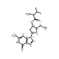 CC(C)C(N)C(=O)O[C@@H]1C[C@H](n2cnc3c(=O)[nH]c(N)nc32)O[C@@H]1CO